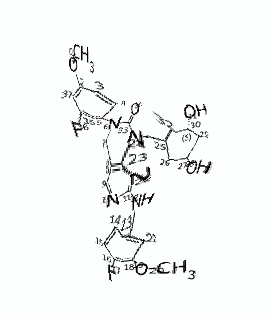 COc1ccc(N2Cc3cnc(Nc4ccc(F)c(OC)c4)nc3N(C3CC(O)C[C@@H](O)C3)C2=O)c(F)c1